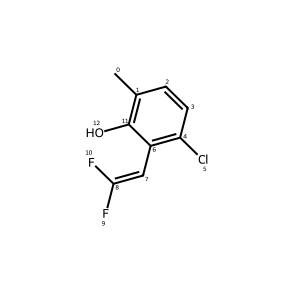 Cc1ccc(Cl)c(C=C(F)F)c1O